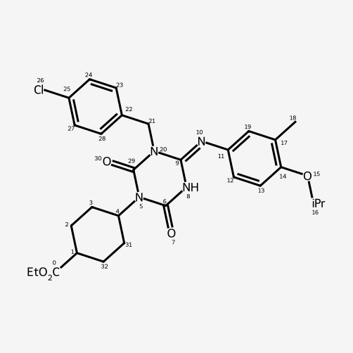 CCOC(=O)C1CCC(n2c(=O)[nH]/c(=N\c3ccc(OC(C)C)c(C)c3)n(Cc3ccc(Cl)cc3)c2=O)CC1